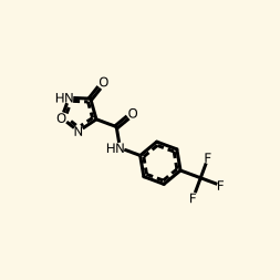 O=C(Nc1ccc(C(F)(F)F)cc1)c1no[nH]c1=O